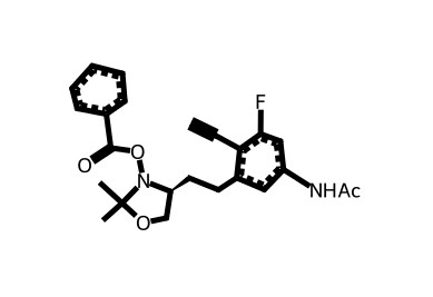 C#Cc1c(F)cc(NC(C)=O)cc1CC[C@H]1COC(C)(C)N1OC(=O)c1ccccc1